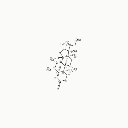 CC(=O)OCC(=O)[C@@]1(O)[C@@H](C)C[C@H]2[C@@H]3[C@@H](O)[C@@H](O)C4=CC(=O)CC[C@]4(C)[C@@]3(F)[C@@H](O)C[C@@]21C